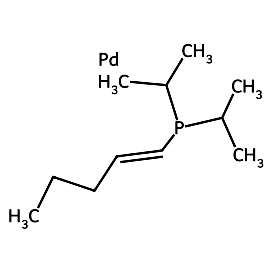 CCCC=CP(C(C)C)C(C)C.[Pd]